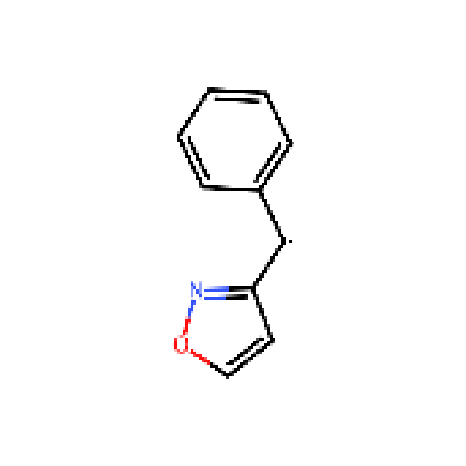 [CH](c1ccccc1)c1ccon1